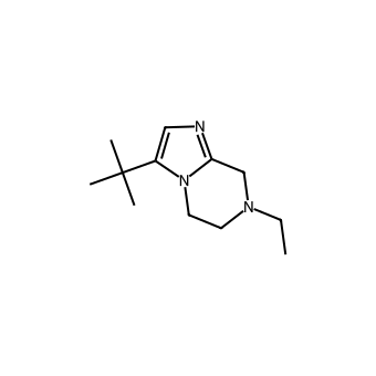 CCN1CCn2c(C(C)(C)C)cnc2C1